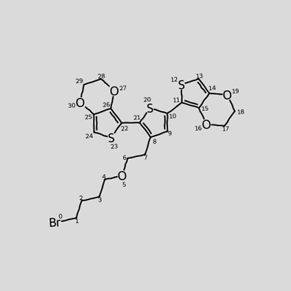 BrCCCCOCCc1cc(-c2scc3c2OCCO3)sc1-c1scc2c1OCCO2